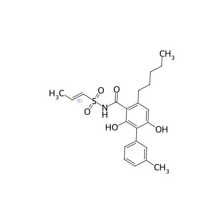 C/C=C/S(=O)(=O)NC(=O)c1c(CCCCC)cc(O)c(-c2cccc(C)c2)c1O